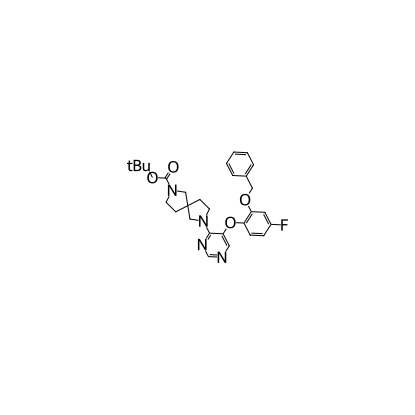 CC(C)(C)OC(=O)N1CCC2(CCN(c3ncncc3Oc3ccc(F)cc3OCc3ccccc3)C2)C1